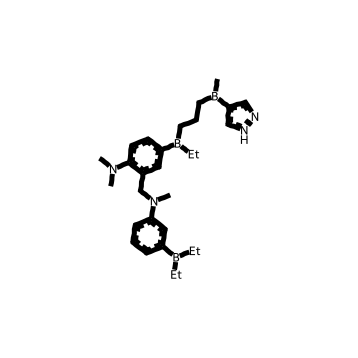 CCB(CC)c1cccc(N(C)Cc2cc(B(CC)CCCB(C)c3cn[nH]c3)ccc2N(C)C)c1